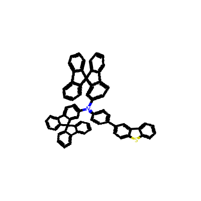 c1ccc2c(c1)-c1ccccc1C21c2ccccc2-c2ccc(N(c3ccc(-c4ccc5sc6ccccc6c5c4)cc3)c3ccc4c(c3)C3(c5ccccc5-c5ccccc53)c3ccccc3-4)cc21